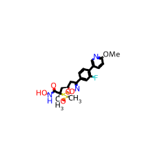 COc1ccc(-c2ccc(C3=NO[C@@H](C[C@](C)(C(=O)NO)S(C)(=O)=O)C3)cc2F)cn1